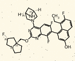 CCc1c(F)ccc2cc(O)cc(-c3c(F)cc4c(N5C[C@H]6C[C@@H](C5)N6)nc(OC[C@@]56CCCN5C[C@H](F)C6)nc4c3F)c12